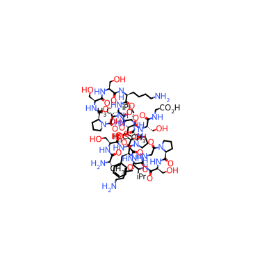 CC(C)C[C@H](NC(=O)[C@@H]1CCCN1C(=O)[C@H](Cc1ccccc1)NC(=O)[C@@H](NC(=O)[C@H](CO)NC(=O)[C@@H]1CCCN1C(=O)CNC(=O)[C@H](CCCCN)NC(=O)[C@@H](NC(=O)[C@H](CO)NC(=O)[C@H](C)N)[C@@H](C)O)C(C)C)C(=O)N[C@@H](C)C(=O)N1CCC[C@H]1C(=O)N[C@@H](CO)C(=O)N[C@@H](CO)C(=O)N[C@@H](CCCCN)C(=O)N[C@@H](CO)C(=O)N[C@H](C(=O)N[C@@H](CO)C(=O)NCC(=O)O)[C@@H](C)O